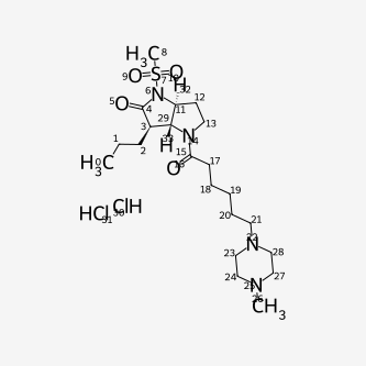 CCC[C@H]1C(=O)N(S(C)(=O)=O)[C@H]2CCN(C(=O)CCCCCN3CCN(C)CC3)[C@H]12.Cl.Cl